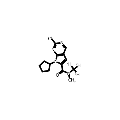 [2H]C([2H])([2H])N(C)C(=O)c1cc2cnc(Cl)nc2n1C1CCCC1